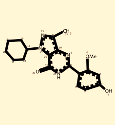 COc1cc(O)ccc1-c1nc2c(C)nn(C3CCCCC3)c2c(=O)[nH]1